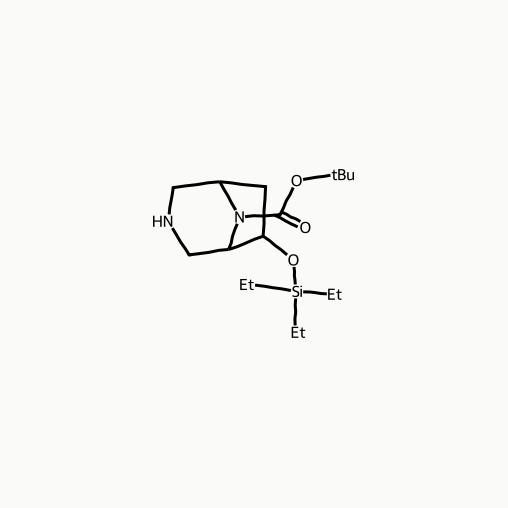 CC[Si](CC)(CC)OC1CC2CNCC1N2C(=O)OC(C)(C)C